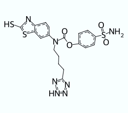 NS(=O)(=O)c1ccc(OC(=O)N(CCCCc2nn[nH]n2)c2ccc3nc(S)sc3c2)cc1